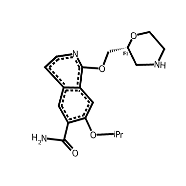 CC(C)Oc1cc2c(OC[C@H]3CNCCO3)nccc2cc1C(N)=O